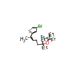 CCC(CC)(CC/C=C(/C)c1cc(Br)cs1)O[Si](CC)(CC)CC